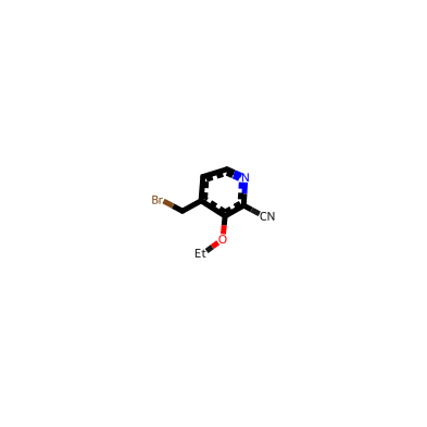 CCOc1c(CBr)ccnc1C#N